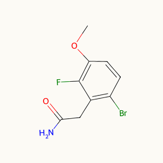 COc1ccc(Br)c(CC(N)=O)c1F